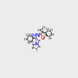 O=C(NC(CN1CCCC1)c1ccccc1)C1(c2ccccc2)CC1